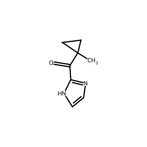 CC1(C(=O)c2ncc[nH]2)CC1